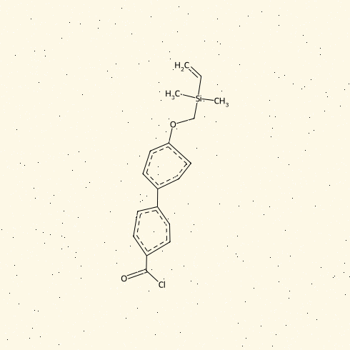 C=C[Si](C)(C)COc1ccc(-c2ccc(C(=O)Cl)cc2)cc1